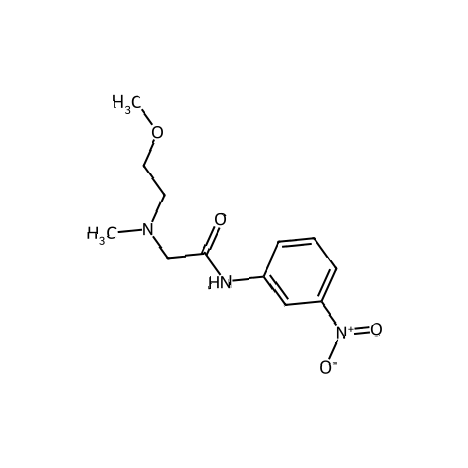 COCCN(C)CC(=O)Nc1cccc([N+](=O)[O-])c1